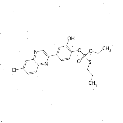 CCCSP(=O)(OCC)Oc1ccc(-c2cnc3cc(Cl)ccc3n2)cc1O